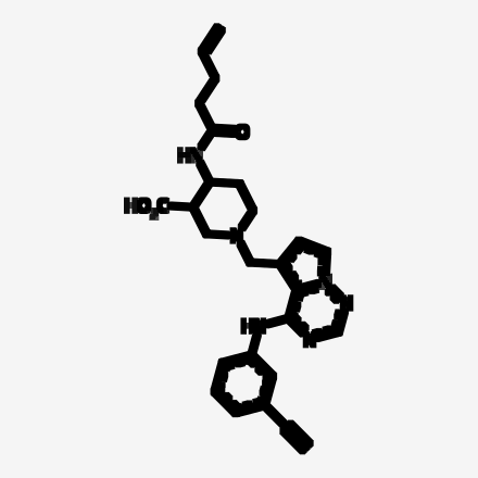 C#Cc1cccc(Nc2ncnn3ccc(CN4CCC(NC(=O)CCC=C)C(C(=O)O)C4)c23)c1